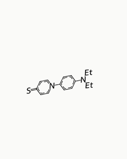 CCN(CC)c1ccc(-n2ccc(=S)cc2)cc1